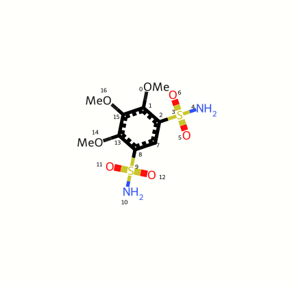 COc1c(S(N)(=O)=O)cc(S(N)(=O)=O)c(OC)c1OC